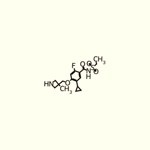 CCS(=O)(=O)NC(=O)c1cc(C2CC2)c(OCC2(C)CNC2)cc1F